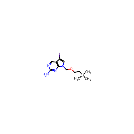 C[Si](C)(C)CCOCn1cc(I)c2cnc(N)nc21